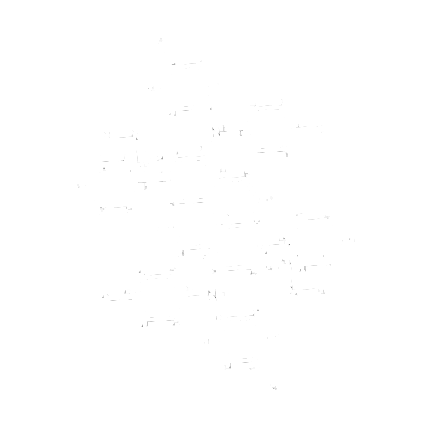 Cc1ccc(N(c2ccc(C)cc2)c2cc(C34CC5CC(CC(C5)C3)C4)c3ccc4c(N(c5ccc(C)cc5)c5ccc(C)cc5)cc(C56CC7CC(CC(C7)C5)C6)c5ccc2c3c45)cc1